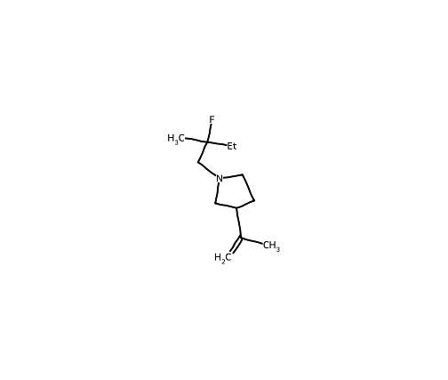 C=C(C)C1CCN(CC(C)(F)CC)C1